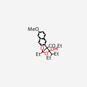 CCOC(=O)C(C)(c1ccc2cc(OC)ccc2c1)C(O)(OC(=O)CC)C(CC)CC